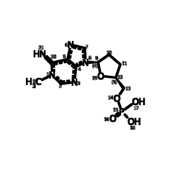 Cn1cnc2c(ncn2[C@H]2CC[C@@H](COP(=O)(O)O)O2)c1=N